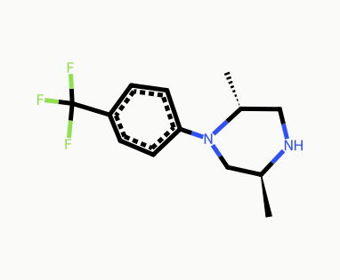 C[C@@H]1CN[C@@H](C)CN1c1ccc(C(F)(F)F)cc1